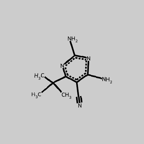 CC(C)(C)c1nc(N)nc(N)c1C#N